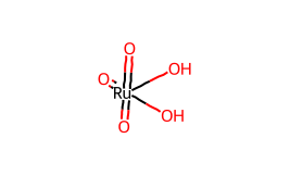 [O]=[Ru](=[O])(=[O])([OH])[OH]